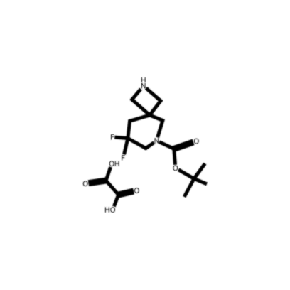 CC(C)(C)OC(=O)N1CC(F)(F)CC2(CNC2)C1.O=C(O)C(=O)O